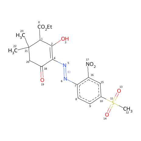 CCOC(=O)C1C(O)=C(/N=N/c2ccc(S(C)(=O)=O)cc2[N+](=O)[O-])C(=O)CC1(C)C